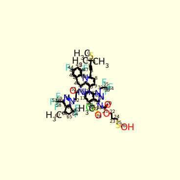 CSC(C)(C)C#Cc1ccc(-c2ccc(Cl)c3c(N(C(=O)OCCCSO)[S+](C)[O-])nn(CC(F)(F)F)c23)c(C(Cc2cc(F)cc(F)c2)NC(=O)Cn2nc(C(F)(F)F)c3c2C(F)(F)C[C@@H]3C)n1